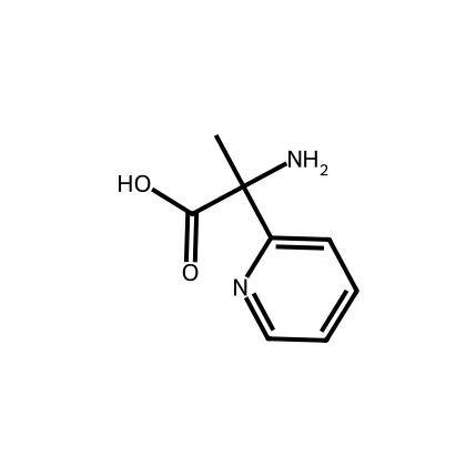 CC(N)(C(=O)O)c1ccccn1